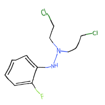 Fc1ccccc1NN(CCCl)CCCl